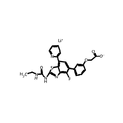 CCNC(=O)Nc1nc2c(F)c(-c3cccc(OCC(=O)[O-])c3)cc(-c3ccccn3)c2s1.[Li+]